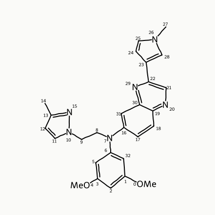 COc1cc(OC)cc(N(CCn2ccc(C)n2)c2ccc3ncc(-c4ccn(C)c4)nc3c2)c1